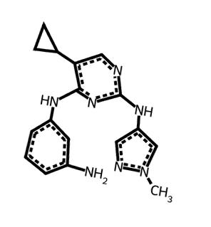 Cn1cc(Nc2ncc(C3CC3)c(Nc3cccc(N)c3)n2)cn1